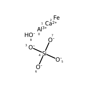 [Al+3].[Ca+2].[Fe].[O-][Si]([O-])([O-])[O-].[OH-]